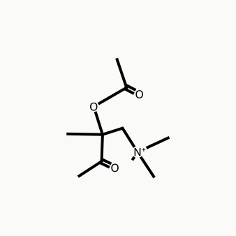 CC(=O)OC(C)(C[N+](C)(C)C)C(C)=O